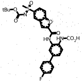 CC(C)(C)OC(=O)N=S(C)(=O)c1ccc2oc(C(=O)Nc3cc(-c4ccc(F)cc4)ccc3NC(=O)O)cc2c1